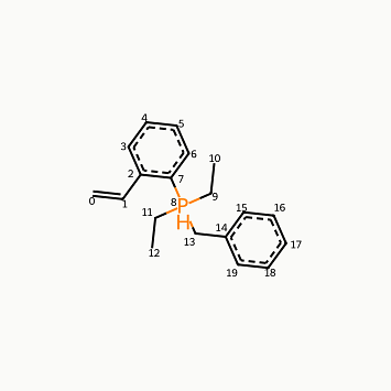 C=Cc1ccccc1[PH](CC)(CC)Cc1ccccc1